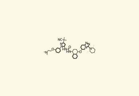 C[C@@H]1CCC[C@H](C)N1c1nnc2ccc(O[C@@H]3CC[C@H](NC(=O)Nc4cc(C(C)(C)C#N)nn4-c4cccc(OCCN(C)C)c4)c4ccccc43)cn12